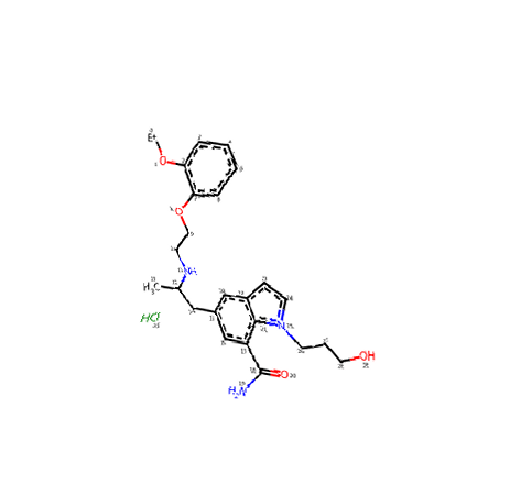 CCOc1ccccc1OCCNC(C)Cc1cc(C(N)=O)c2c(ccn2CCCO)c1.Cl